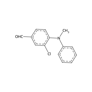 CN(c1ccccc1)c1ccc(C=O)cc1Cl